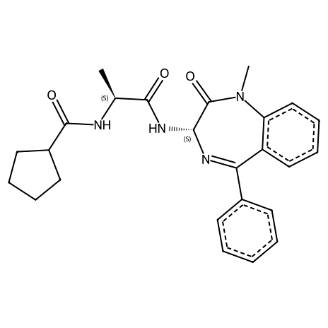 C[C@H](NC(=O)C1CCCC1)C(=O)N[C@H]1N=C(c2ccccc2)c2ccccc2N(C)C1=O